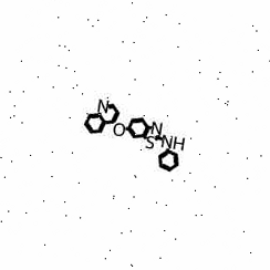 c1ccc(Nc2nc3ccc(Oc4ccnc5ccccc45)cc3s2)cc1